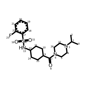 CC(C)N1CCN(C(=O)C2CCC(NS(=O)(=O)c3ccccc3F)CC2)CC1